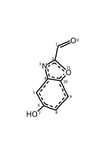 O=Cc1nc2cc(O)ccc2o1